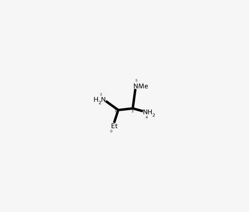 CCC(N)C(N)NC